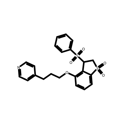 O=S1(=O)CC(S(=O)(=O)c2ccccc2)c2c(OCCCc3ccncc3)cccc21